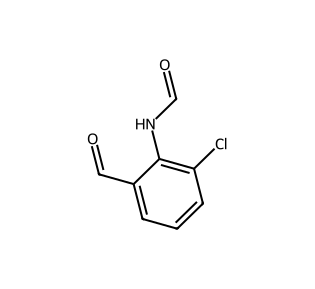 O=CNc1c(Cl)cccc1C=O